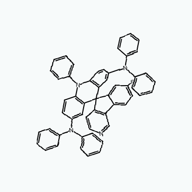 Fc1ccc2c(c1)C1(c3ccncc3-2)c2cc(N(c3ccccc3)c3ccccc3)ccc2N(c2ccccc2)c2ccc(N(c3ccccc3)c3ccccc3)cc21